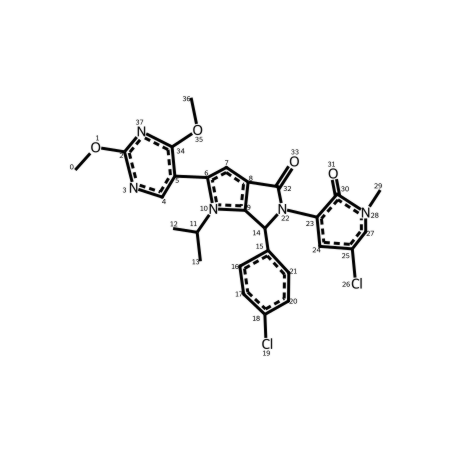 COc1ncc(-c2cc3c(n2C(C)C)C(c2ccc(Cl)cc2)N(c2cc(Cl)cn(C)c2=O)C3=O)c(OC)n1